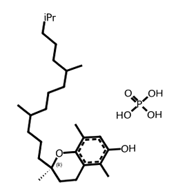 Cc1cc(O)c(C)c2c1O[C@](C)(CCCC(C)CCCC(C)CCCC(C)C)CC2.O=P(O)(O)O